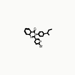 CCC(C)c1ccc(N2C(=O)C3C=CC=CC3N=C2c2ccc(Br)nc2)cc1